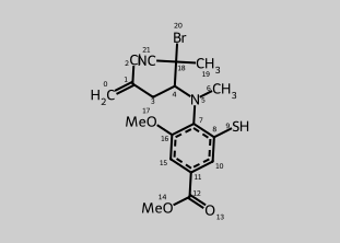 C=C(Cl)CC(N(C)c1c(S)cc(C(=O)OC)cc1OC)C(C)(Br)C#N